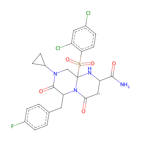 NC(=O)C1[C]C(=O)N2C(Cc3ccc(F)cc3)C(=O)N(C3CC3)CC2(S(=O)(=O)c2ccc(Cl)cc2Cl)N1